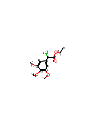 CCOC(=O)C(Cl)c1cc(OC)c(OC)c(OC)c1